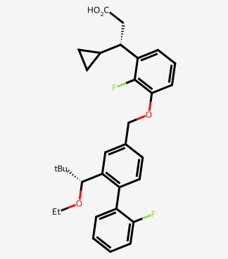 CCO[C@@H](c1cc(COc2cccc([C@@H](CC(=O)O)C3CC3)c2F)ccc1-c1ccccc1F)C(C)(C)C